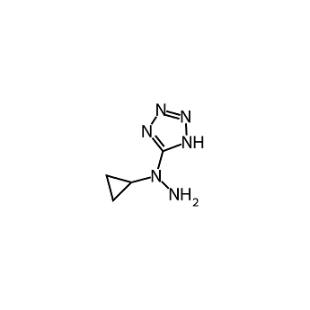 NN(c1nnn[nH]1)C1CC1